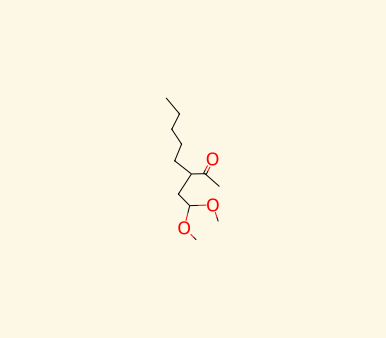 CCCCCC(CC(OC)OC)C(C)=O